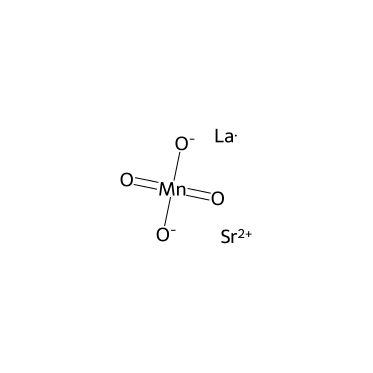 [La].[O]=[Mn](=[O])([O-])[O-].[Sr+2]